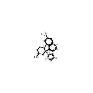 Cc1cc[c]c(N2CCC(Cl)CC2(c2ccccc2)n2cncn2)c1